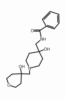 O=C(NCC1(O)CCN(CC2(O)CCOCC2)CC1)c1ccccc1